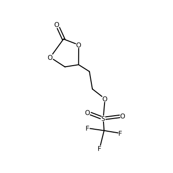 O=C1OCC(CCOS(=O)(=O)C(F)(F)F)O1